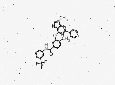 Cc1ccc(C(=O)Nc2cccc(C(F)(F)F)c2)cc1Oc1nc(-c2ccncc2)nc2c1ncn2C